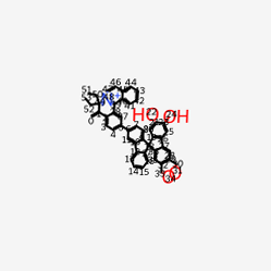 C=C1c2ccc(-c3ccc4c(c3)-c3ccccc3C43c4cc(O)c(O)cc4-c4cc(C=O)c(C=O)cc43)cc2-c2c3ccccc3cc[n+]2C1(CC)CC